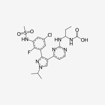 CCC(NC(=O)O)Nc1nccc(-c2cn(C(C)C)nc2-c2cc(Cl)cc(NS(C)(=O)=O)c2F)n1